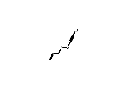 C=CCSSC#CCC